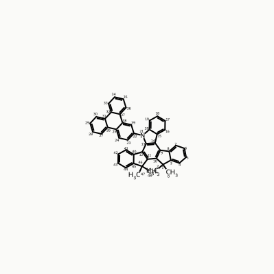 CC1(C)c2ccccc2-c2c1c1c(c3c2c2ccccc2n3-c2ccc3c4ccccc4c4ccccc4c3c2)-c2ccccc2C1(C)C